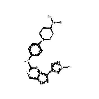 CCN(CC)C1CCN(c2ccc(Nc3ncc4ccc(-c5cnn(C)c5)n4n3)cc2)CC1